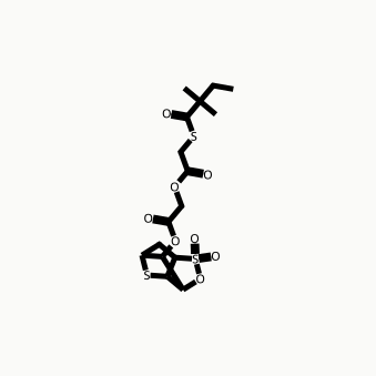 CCC(C)(C)C(=O)SCC(=O)OCC(=O)OC1C2CC3C(S2)C1OS3(=O)=O